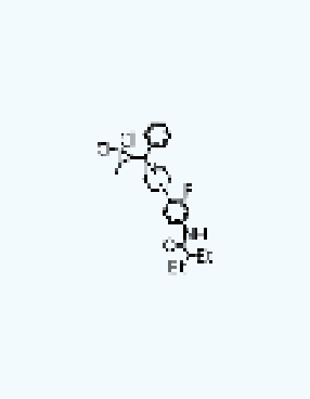 CCC(CC)C(=O)Nc1ccc(N2CCN(C(c3ccccc3)C3C(C)C3(Cl)Cl)CC2)c(F)c1